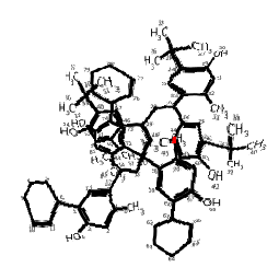 Cc1cc(O)c(C2CCCCC2)cc1C(C)CC(CC(CC(c1cc(C(C)(C)C)c(O)cc1C)c1cc(C(C)(C)C)c(O)cc1C)c1cc(C(C)(C)C)c(O)cc1C)(c1cc(C2CCCCC2)c(O)cc1C)c1cc(C2CCCCC2)c(O)cc1C